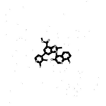 COC(=O)c1cc(-c2ccnc(F)c2F)cc2c1nc(C)n2-c1c(Cl)cnc2c(F)cccc12